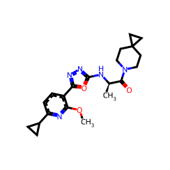 COc1nc(C2CC2)ccc1-c1nnc(N[C@H](C)C(=O)N2CCC3(CC2)CC3)o1